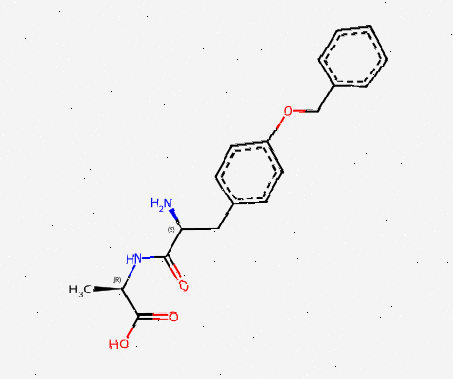 C[C@@H](NC(=O)[C@@H](N)Cc1ccc(OCc2ccccc2)cc1)C(=O)O